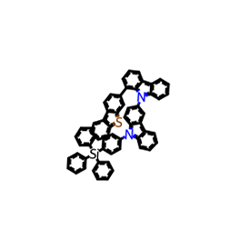 c1ccc([Si](c2ccccc2)(c2ccccc2)c2ccc(-n3c4ccccc4c4cc(-n5c6ccccc6c6cccc(-c7ccc8c(c7)sc7ccccc78)c65)ccc43)cc2)cc1